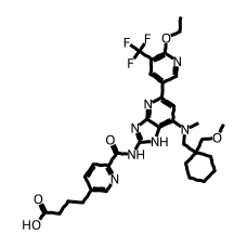 CCOc1ncc(-c2cc(N(C)CC3(COC)CCCCC3)c3[nH]c(NC(=O)c4ccc(CCCC(=O)O)cn4)nc3n2)cc1C(F)(F)F